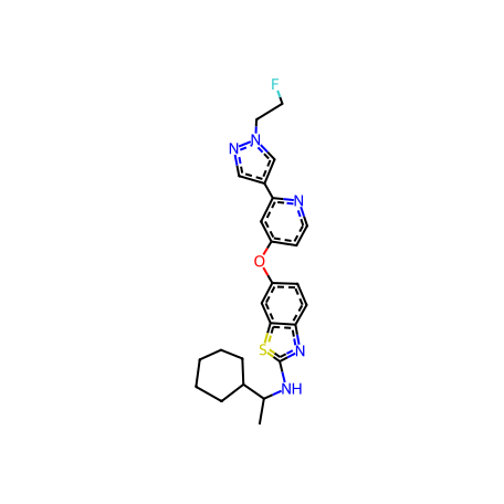 CC(Nc1nc2ccc(Oc3ccnc(-c4cnn(CCF)c4)c3)cc2s1)C1CCCCC1